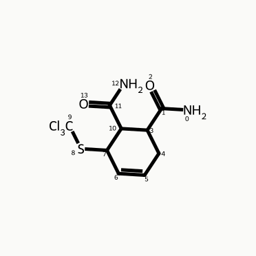 NC(=O)C1CC=CC(SC(Cl)(Cl)Cl)C1C(N)=O